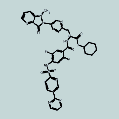 Cn1c2cccnc2c(=O)n1-c1ccc(C[C@H](NC(=O)c2cc(F)c(NS(=O)(=O)c3ccc(-c4ncccn4)cn3)cc2F)C(=O)OC2CCCCC2)nc1